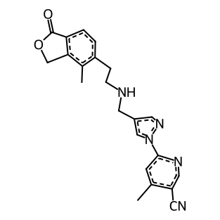 Cc1cc(-n2cc(CNCCc3ccc4c(c3C)COC4=O)cn2)ncc1C#N